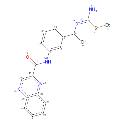 CCS/C(N)=N\C(C)C1C=C(NC(=O)c2cnc3ccccc3n2)C=CC1